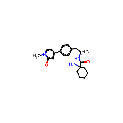 Cn1ccc(-c2ccc(C[C@@H](C#N)NC(=O)C3(N)CCCCC3)cc2)cc1=O